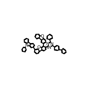 c1ccc(C2=NC(c3ccc4c(oc5c(-c6ccc7c8ccccc8n(-c8ccccc8)c7c6)cccc54)c3-c3ccc4oc5ccccc5c4c3)NC(c3ccc(-c4ccccc4)cc3)=N2)cc1